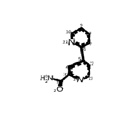 NC(=O)c1cc(-c2ccccn2)ccn1